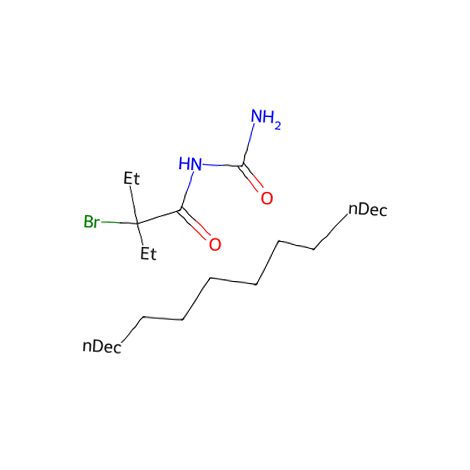 CCC(Br)(CC)C(=O)NC(N)=O.CCCCCCCCCCCCCCCCCCCCCCCCCC